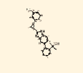 CC(C)(O)c1ccccc1-c1ccc2[nH]c(C3CC3c3cccc(C(F)(F)F)c3)nc2c1